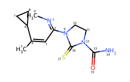 C/N=C(\C=C(\C)C1CC1)N1CCN(C(N)=O)C1=S